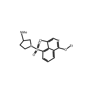 CCOc1ncc(Cl)c2c(S(=O)(=O)N3CCC(NC)C3)cccc12